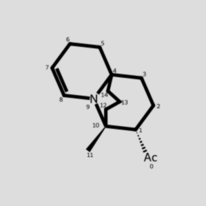 CC(=O)[C@H]1CCC23CCC=CN2[C@]1(C)CCC3